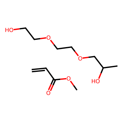 C=CC(=O)OC.CC(O)COCCOCCO